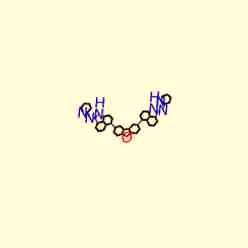 c1ccc(/N=C2\Nc3ccc(-c4ccc5oc6ccc(-c7ccc8c9c(cccc79)/C(=N/c7ccccn7)N8)cc6c5c4)c4cccc2c34)nc1